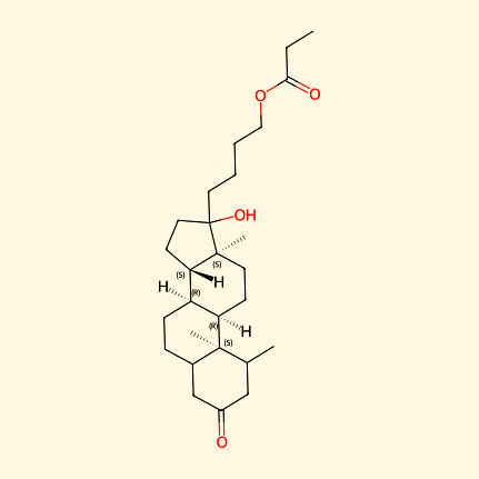 CCC(=O)OCCCCC1(O)CC[C@H]2[C@@H]3CCC4CC(=O)CC(C)[C@]4(C)[C@@H]3CC[C@@]21C